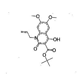 C=CCn1c(=O)c(C(=O)OC(C)(C)C)c(O)c2cc(OC)c(OC)cc21